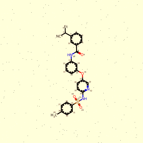 CCC(C#N)c1cccc(C(=O)Nc2cccc(Oc3ccc(NS(=O)(=O)c4ccc(C)cc4)nc3)c2)c1